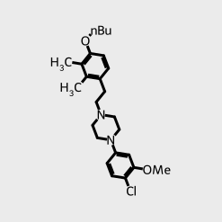 CCCCOc1ccc(CCN2CCN(c3ccc(Cl)c(OC)c3)CC2)c(C)c1C